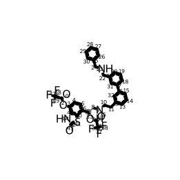 O=C(Oc1ccc([C@H](CNCCc2cccc(-c3cccc(CNCc4ccccc4)c3)c2)OC(=O)C(F)(F)F)c2sc(=O)[nH]c12)C(F)(F)F